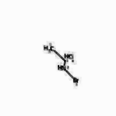 CCNBr.Cl